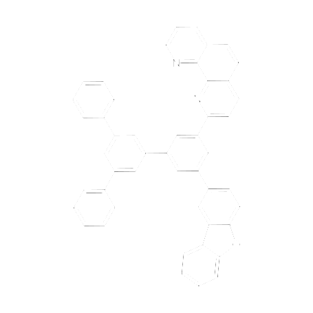 c1ccc(-c2cc(-c3ccccc3)cc(-c3cc(-c4ccc5oc6ccccc6c5c4)cc(-c4ccc5ccc6cccnc6c5n4)c3)c2)cc1